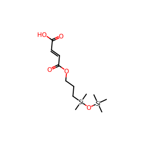 C[Si](C)(C)O[Si](C)(C)CCCOC(=O)C=CC(=O)O